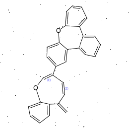 C=C1/C=C\C(c2ccc3c(c2)-c2ccccc2-c2ccccc2O3)=C/Oc2ccccc21